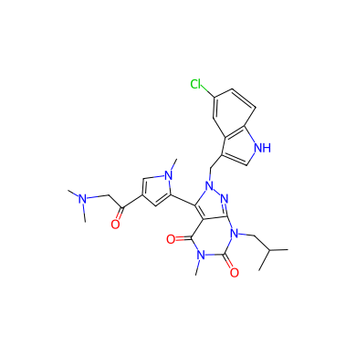 CC(C)Cn1c(=O)n(C)c(=O)c2c(-c3cc(C(=O)CN(C)C)cn3C)n(Cc3c[nH]c4ccc(Cl)cc34)nc21